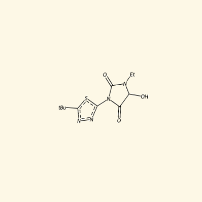 CCN1C(=O)N(c2nnc(C(C)(C)C)s2)C(=O)C1O